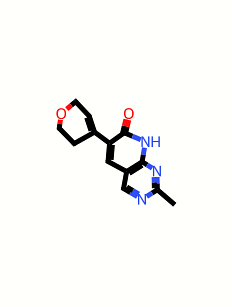 Cc1ncc2cc(C3=CCOCC3)c(=O)[nH]c2n1